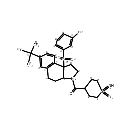 N=S1(=O)CCC(C(=O)N2CCC3(S(=O)(=O)c4cccc(F)c4)c4ccc(C(F)(C(F)(F)F)C(F)(F)F)cc4CCC23)CC1